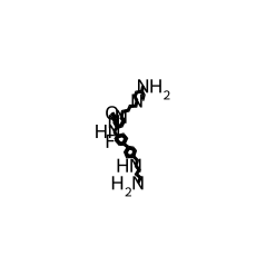 NCCCNCc1ccc(-c2ccc(Nc3ccn(CCCCN4CCC(N)CC4)c(=O)n3)c(F)c2)cc1